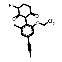 CC#Cc1cc(F)c(C2C(=O)CCC(CC)C2=O)c(OCC(F)(F)F)c1